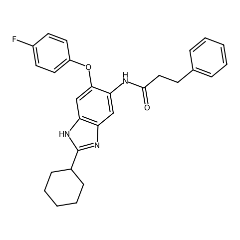 O=C(CCc1ccccc1)Nc1cc2nc(C3CCCCC3)[nH]c2cc1Oc1ccc(F)cc1